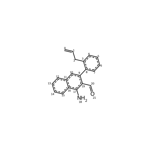 C=CCc1ccccc1-c1cc2ccccc2c(N)c1C=O